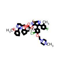 COc1ccccc1-c1nccc(COc2ccccc2C[C@@H](Oc2nsc3cnc(-c4ccc(F)cc4C)c(-c4ccc(OCCN5CCN(C)CC5)c(Cl)c4C)c23)C(=O)O)n1